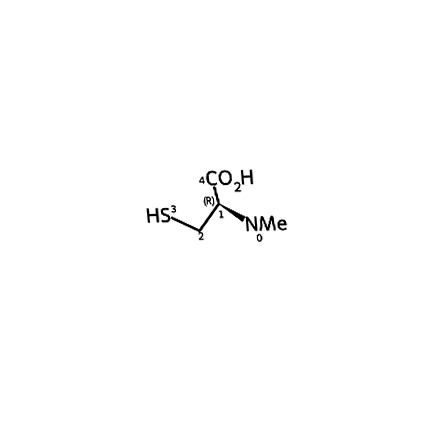 CN[C@@H](CS)C(=O)O